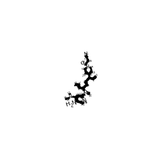 C=C/C(=C\C=C(/CCC)N(C)c1cc(N(C)C=C)c(N)cn1)C1=CCN(C(=O)CC#N)CC1